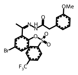 COc1cccc(CC(=O)NN=C(C)c2cc(Br)ccc2OS(=O)(=O)c2ccc(C(F)(F)F)cc2)c1